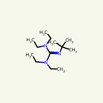 CCN(CC)C(=NC(C)(C)C)N(CC)CC